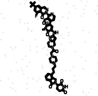 Cn1cc(-c2ccnc(-n3ncc4cc(C(C)(C)C)cc(F)c4c3=O)c2CO)cc(Nc2cc3n(n2)CCN(C(=O)CN2CCN(CCCc4cccc5c4CN(C4CCC(=O)NC4=O)C5=O)CC2)C3)c1=O